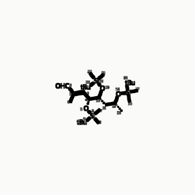 CC(C=O)=C[C@@H](O[Si](C)(C)C(C)(C)C)[C@@H](C[C@@H](C)O[Si](C)(C)C(C)(C)C)O[Si](C)(C)C(C)(C)C